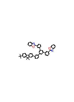 CC(C)(C)c1ccc2c(c1)C(C)(C)c1cc(-c3cccc(-c4cc(-c5cccc(-c6nc7ccccc7o6)c5)cc(-c5cccc(-c6nc7ccccc7o6)c5)c4)c3)ccc1-2